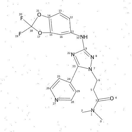 CN(C)C(=O)CCn1nc(Nc2ccc3c(c2)OC(F)(F)O3)nc1-c1ccncc1